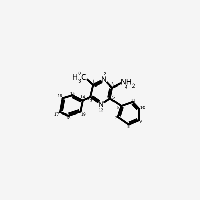 Cc1nc(N)c(-c2ccccc2)nc1-c1ccccc1